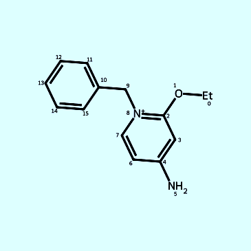 CCOc1cc(N)cc[n+]1Cc1ccccc1